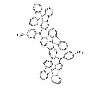 Cc1ccc(N(c2ccc3c(c2)C2(c4ccccc4-c4ccccc42)c2ccccc2-3)c2ccc3c(c2)C2(c4ccccc4-c4ccccc42)c2cc(N(c4ccc(C)cc4)c4ccc5c(c4)C4(c6ccccc6-c6ccccc64)c4ccccc4-5)ccc2-3)cc1